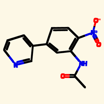 CC(=O)Nc1cc(-c2cccnc2)ccc1[N+](=O)[O-]